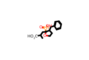 CC(CC1([PH](=O)O)OCCC1Cc1ccccc1)C(=O)O